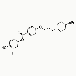 CCCC1CCC(CCCOc2ccc(C(=O)Oc3ccc(C#N)c(F)c3)cc2)CC1